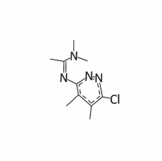 CC(=Nc1nnc(Cl)c(C)c1C)N(C)C